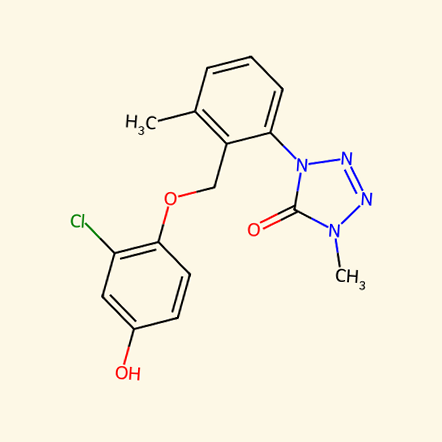 Cc1cccc(-n2nnn(C)c2=O)c1COc1ccc(O)cc1Cl